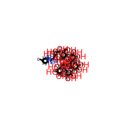 Cc1ccc2[nH]c(C(O)[C@@H](O)[C@H](O[C@H]3OC(CO)[C@@H](O[C@H]4OC(CO)[C@@H](O[C@H]5OC(CO)[C@@H](O[C@H]6OC(CO)[C@@H](O[C@H]7OC(CO)[C@@H](O)[C@H](O)C7O)[C@H](O)C6O)[C@H](O)C5O)[C@H](O)C4O)[C@H](O)C3O)C(O)CO)nc2c1